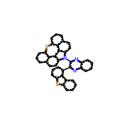 c1ccc2nc(-n3c4ccc5cccc6sc7cccc8ccc3c(c87)c4c56)c(-c3cccc4sc5ccccc5c34)nc2c1